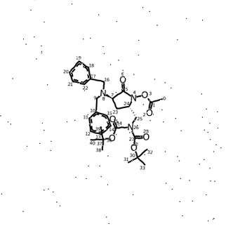 CC(=O)ON1C(=O)[C@H](N(Cc2ccccc2)Cc2ccccc2)C[C@H]1CN(C(=O)OC(C)(C)C)C(=O)OC(C)(C)C